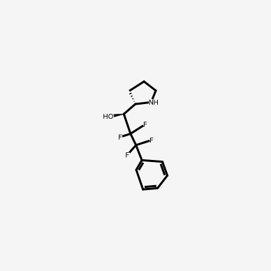 O[C@@H]([C@@H]1CCCN1)C(F)(F)C(F)(F)c1ccccc1